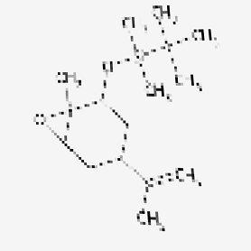 C=C(C)C1CC2O[C@@]2(C)C(O[Si](C)(C)C(C)(C)C)C1